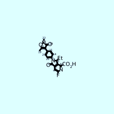 CCC1c2c(cc(F)nc2C(=O)O)C(=O)N1c1ccc(-c2c(C)on(C)c2=O)cc1